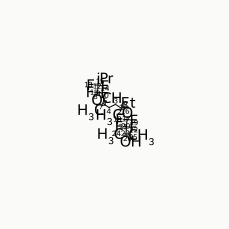 CCC(C)(CCC(C)(C)OC(F)(F)C(F)(F)C(C)C)OC(F)(F)C(F)(F)C(C)(C)O